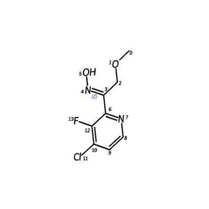 COC/C(=N\O)c1nccc(Cl)c1F